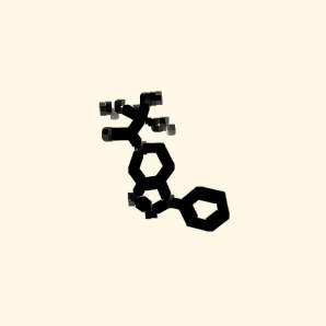 C[C@@](O)(C(=O)N1CCc2c(nnn2-c2ccccc2)C1)C(F)(F)F